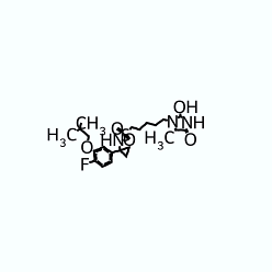 CC(C)COc1cc(C2(NS(=O)(=O)CCCCCN3C(O)NC(=O)[C@H]3C)CC2)ccc1F